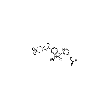 CC(C)n1c(=O)n(-c2cc(OCC(F)F)ccn2)c2cc(F)c(C(=O)NC3(C)CCS(=O)(=O)CC3)cc21